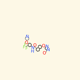 COCc1cc(Oc2ccc3c(C(=O)Nc4ccc(OC5CCN(C)CC5)c(C(F)(F)F)c4)cccc3c2)ncn1